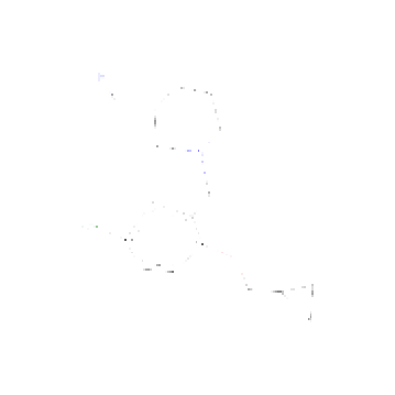 NC[C@@H]1CCCN(Cc2cc(Cl)ccc2OCC2CC2)C1